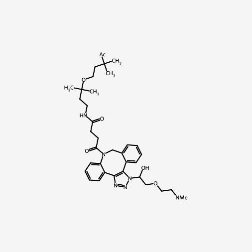 CNCCOCC(O)n1nnc2c1-c1ccccc1CN(C(=O)CCC(=O)NCCC(C)(C)OCCC(C)(C)C(C)=O)c1ccccc1-2